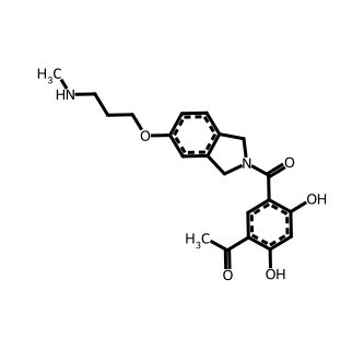 CNCCCOc1ccc2c(c1)CN(C(=O)c1cc(C(C)=O)c(O)cc1O)C2